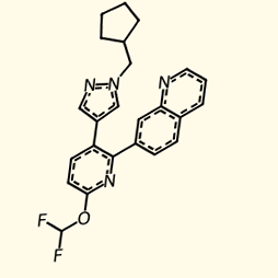 FC(F)Oc1ccc(-c2cnn(CC3CCCC3)c2)c(-c2ccc3cccnc3c2)n1